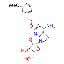 COc1cccc(CCOc2nc(N)c3ncn([C@@H]4O[C@H](CO)[C@@H](O)[C@H]4O)c3n2)c1